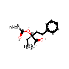 CCCCCCCCCCC[C@](CCc1ccccc1)(OC(=O)CCCCCCCCC)C(=O)C(=O)O